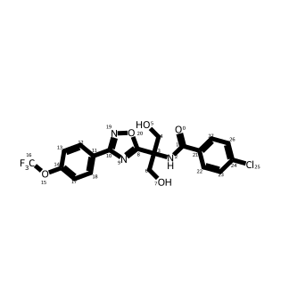 O=C(NC(CO)(CO)c1nc(-c2ccc(OC(F)(F)F)cc2)no1)c1ccc(Cl)cc1